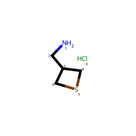 Cl.NCC1CSC1